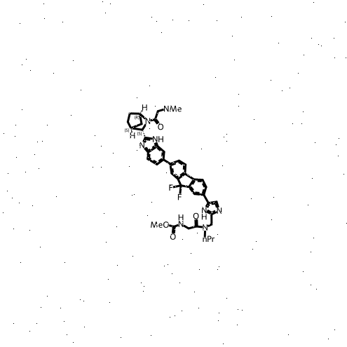 CCCN(Cc1ncc(-c2ccc3c(c2)C(F)(F)c2cc(-c4ccc5nc([C@@H]6[C@H]7CC[C@H](C7)N6C(=O)CNC)[nH]c5c4)ccc2-3)[nH]1)C(=O)CNC(=O)OC